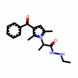 CCNNC(=O)C(C)n1c(C)cc(C(=O)c2ccccc2)c1C